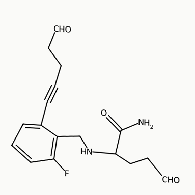 NC(=O)C(CCC=O)NCc1c(F)cccc1C#CCCC=O